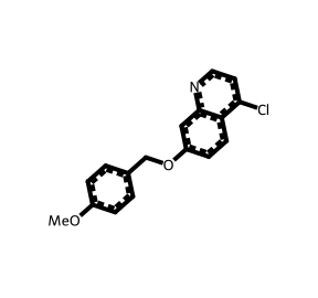 COc1ccc(COc2ccc3c(Cl)ccnc3c2)cc1